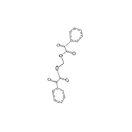 O=C(OCOC(=O)C(=O)c1ccccc1)C(=O)c1ccccc1